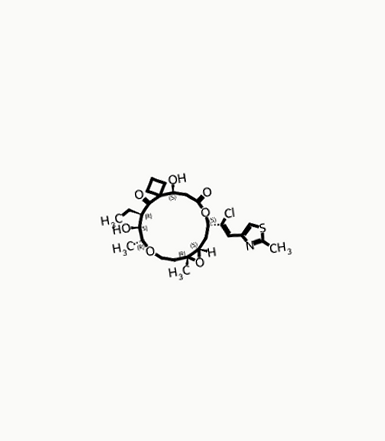 CC[C@H]1C(=O)C2(CCC2)[C@@H](O)CC(=O)O[C@H](C(Cl)=Cc2csc(C)n2)C[C@@H]2O[C@]2(C)CCO[C@H](C)[C@H]1O